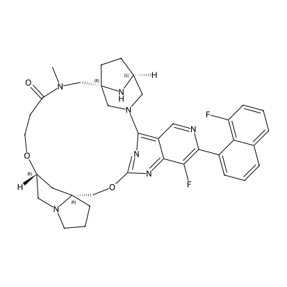 CN1C[C@@]23CC[C@@H](CN(C2)c2nc(nc4c(F)c(-c5cccc6cccc(F)c56)ncc24)OC[C@]24CCCN2C[C@@H](C4)OCCC1=O)N3